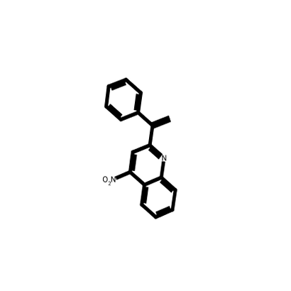 C=C(c1ccccc1)c1cc([N+](=O)[O-])c2ccccc2n1